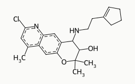 Cc1cc(Cl)nc2cc3c(cc12)OC(C)(C)C(O)C3NCCC1=CCCC1